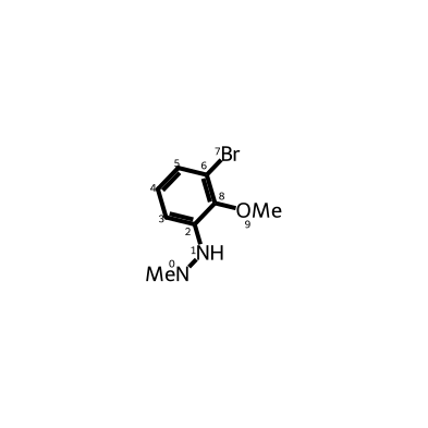 CNNc1cccc(Br)c1OC